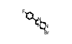 Fc1ccc(-c2cn3cc(Br)ncc3n2)cc1